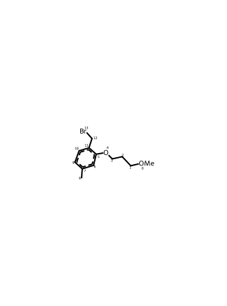 COCCCOc1cc(C)ccc1CBr